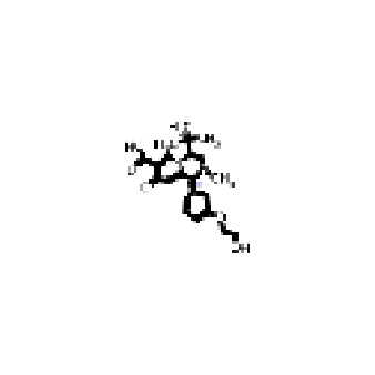 CN1CC(C(C)(C)C)n2cc(C(=O)O)c(=O)cc2/C1=C1\C=CC=C(OCCO)C1